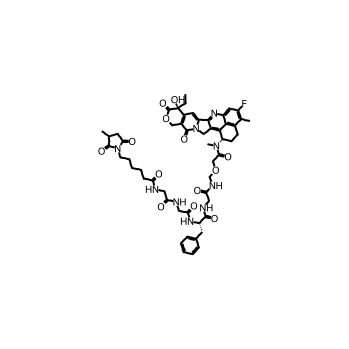 CC[C@@]1(O)C(=O)OCc2c1cc1n(c2=O)Cc2c-1nc1cc(F)c(C)c3c1c2[C@@H](N(C)C(=O)COCNC(=O)CNC(=O)[C@H](Cc1ccccc1)NC(=O)CNC(=O)CNC(=O)CCCCCN1C(=O)CC(C)C1=O)CC3